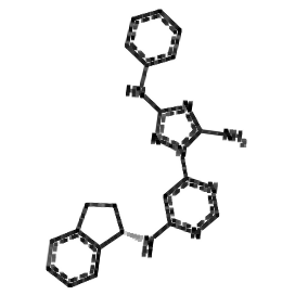 Nc1nc(Nc2ccccc2)nn1-c1cc(N[C@H]2CCc3ccccc32)ncn1